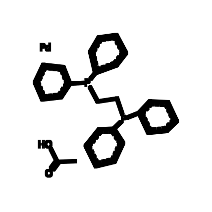 CC(=O)O.[Pd].c1ccc(P(CCP(c2ccccc2)c2ccccc2)c2ccccc2)cc1